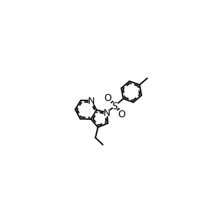 CCc1cn(S(=O)(=O)c2ccc(C)cc2)c2ncccc12